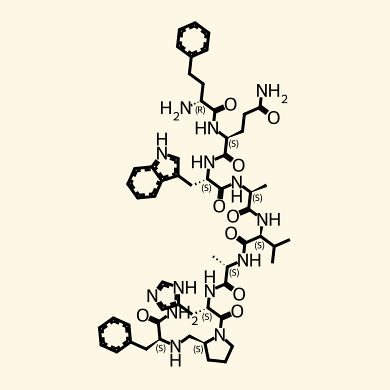 CC(C)[C@H](NC(=O)[C@H](C)NC(=O)[C@H](Cc1c[nH]c2ccccc12)NC(=O)[C@H](CCC(N)=O)NC(=O)[C@H](N)CCc1ccccc1)C(=O)N[C@@H](C)C(=O)N[C@@H](Cc1cnc[nH]1)C(=O)N1CCC[C@H]1CN[C@@H](Cc1ccccc1)C(N)=O